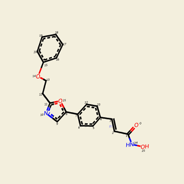 O=C(/C=C/c1ccc(-c2cnc(CCOc3ccccc3)o2)cc1)NO